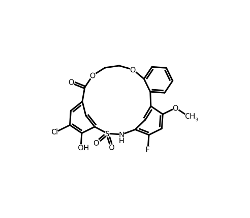 COc1cc(F)c2cc1-c1ccccc1OCCOC(=O)c1cc(Cl)c(O)c(c1)S(=O)(=O)N2